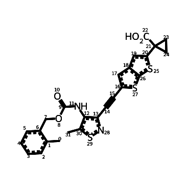 Cc1ccccc1COC(=O)Nc1c(C#Cc2cc3cc(C4(C(=O)O)CC4)sc3s2)nsc1C